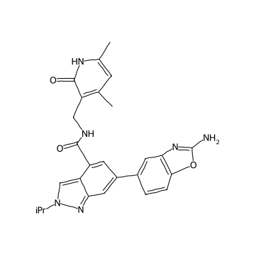 Cc1cc(C)c(CNC(=O)c2cc(-c3ccc4oc(N)nc4c3)cc3nn(C(C)C)cc23)c(=O)[nH]1